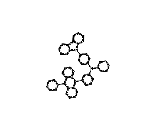 c1ccc(-c2c3ccccc3c(-c3cccc(N(c4ccccc4)c4ccc(-n5c6ccccc6c6ccccc65)cc4)c3)c3ccccc23)cc1